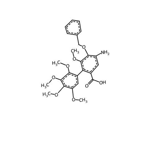 COc1cc(-c2c(C(=O)O)cc(N)c(OCc3ccccc3)c2OC)c(OC)c(OC)c1OC